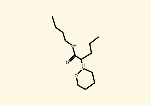 CCCCNC(=O)C(CCC)[SiH]1CCCCO1